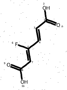 O=C(O)C=CC(F)=CC(=O)O